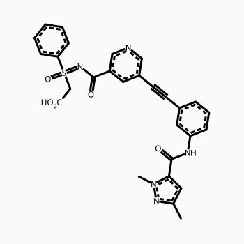 Cc1cc(C(=O)Nc2cccc(C#Cc3cncc(C(=O)N=S(=O)(CC(=O)O)c4ccccc4)c3)c2)n(C)n1